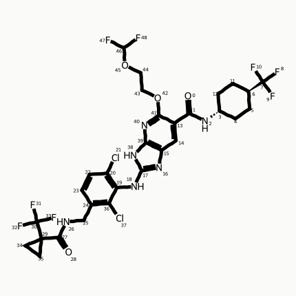 O=C(N[C@H]1CC[C@H](C(F)(F)F)CC1)c1cc2nc(Nc3c(Cl)ccc(CNC(=O)C4(C(F)(F)F)CC4)c3Cl)[nH]c2nc1OCCOC(F)F